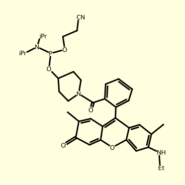 CCNc1cc2oc3cc(=O)c(C)cc-3c(-c3ccccc3C(=O)N3CCC(OP(OCCC#N)N(C(C)C)C(C)C)CC3)c2cc1C